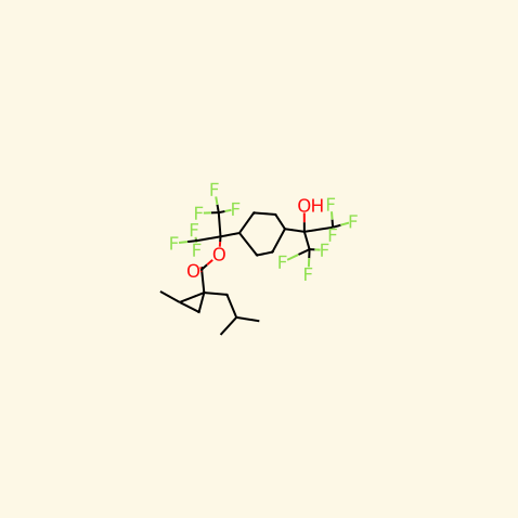 CC(C)CC1(C(=O)OC(C2CCC(C(O)(C(F)(F)F)C(F)(F)F)CC2)(C(F)(F)F)C(F)(F)F)CC1C